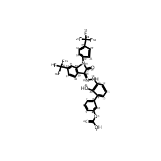 O=C(O)Oc1cccc(-c2cccc(NN=C3C(=O)N(c4ccc(C(F)(F)F)cc4)c4cc(C(F)(F)F)ccc43)c2O)c1